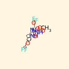 CS(=O)(=O)CC(=O)Nc1c2c(nn1CCCOC(F)F)C[C@@]1(CCc3cc(OCC4CC(F)(F)C4)ccc31)NC2=O